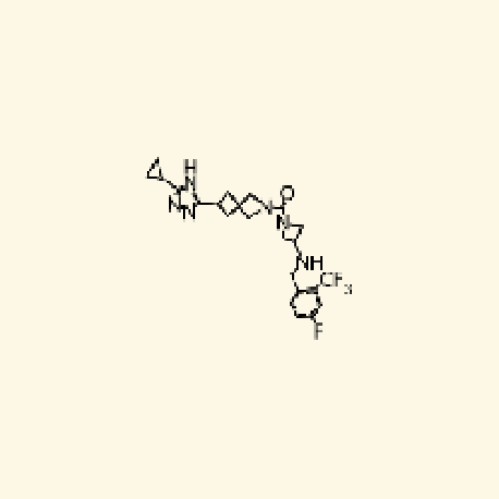 O=C(N1CC(NCc2ccc(F)cc2C(F)(F)F)C1)N1CC2(CC(c3nnc(C4CC4)[nH]3)C2)C1